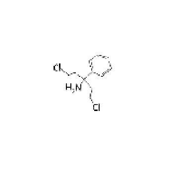 NC(CCCl)(CCCl)c1ccccc1